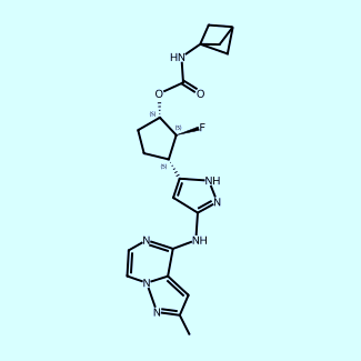 Cc1cc2c(Nc3cc([C@@H]4CC[C@H](OC(=O)NC56CC(C5)C6)[C@H]4F)[nH]n3)nccn2n1